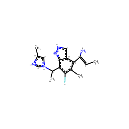 C/C=C(\N)c1c(C)c(F)c(C(C)n2cnc(C)c2)c2[nH]ncc12